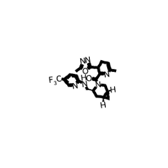 CC1=CCC(c2nnc(C)o2)C(C(=O)N2C[C@@H]3C[C@@H]3C[C@H]2CNc2ccc(C(F)(F)F)cn2)=N1